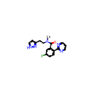 CCN(CCc1cc[nH]n1)C(=O)c1cc(F)ccc1-c1ncccn1